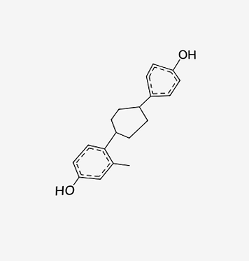 Cc1cc(O)ccc1C1CCC(c2ccc(O)cc2)CC1